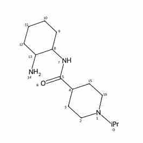 CC(C)N1CCC(C(=O)NC2CCCCC2N)CC1